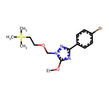 CCOc1nc(-c2ccc(Br)cc2)nn1COCCS(C)(C)C